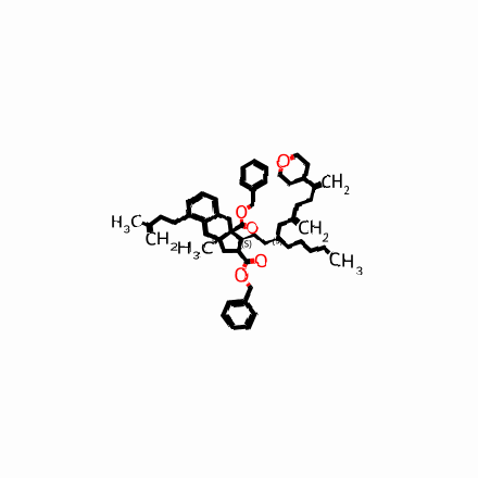 C=C(C)CCc1cccc2c1C[C@@]1(C)CC(C(=O)OCc3ccccc3)[C@H](CC[C@H](CCCCC)CC(=C)CCC(=C)C3CCOCC3)C1(C(=O)OCc1ccccc1)C2